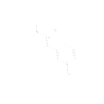 CNc1cc(C[C@@H](N)C(=O)O)ccn1